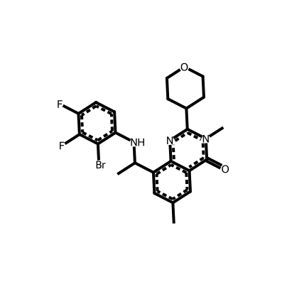 Cc1cc(C(C)Nc2ccc(F)c(F)c2Br)c2nc(C3CCOCC3)n(C)c(=O)c2c1